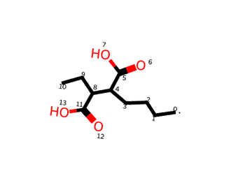 [CH2]CCCC(C(=O)O)C(CC)C(=O)O